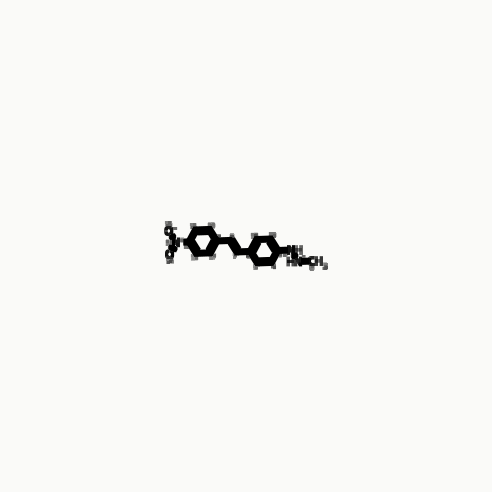 CNNc1ccc(C=Cc2ccc([N+](=O)[O-])cc2)cc1